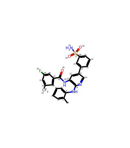 Cc1ccccc1Nc1ncc(-c2cccc(S(N)(=O)=O)c2)cc1NC(=O)c1cc(F)cc(C(F)(F)F)c1